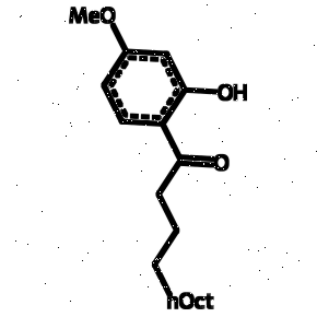 CCCCCCCCCCCC(=O)c1ccc(OC)cc1O